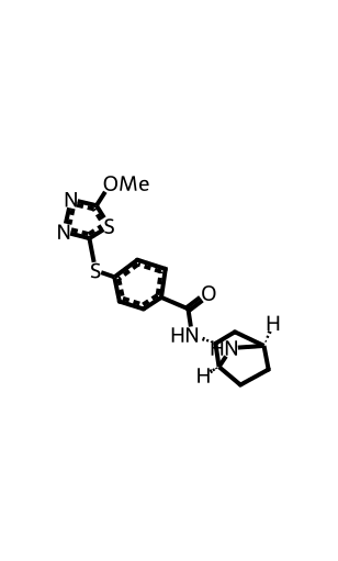 COc1nnc(Sc2ccc(C(=O)N[C@@H]3C[C@H]4CC[C@@H]3N4)cc2)s1